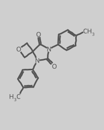 Cc1ccc(N2C(=O)N(c3ccc(C)cc3)C3(COC3)C2=O)cc1